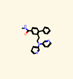 CNC(=O)c1ccc(-c2ccccc2)c(CCN(c2cccnc2)c2cccnc2)c1